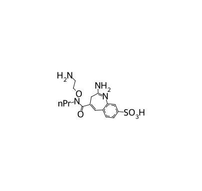 CCCN(OCCN)C(=O)C1=Cc2ccc(S(=O)(=O)O)cc2N=C(N)C1